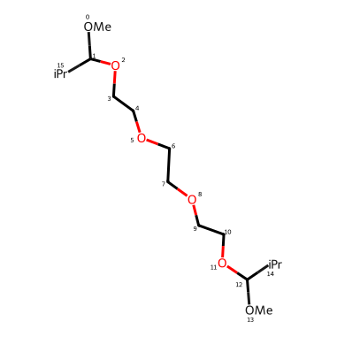 COC(OCCOCCOCCOC(OC)C(C)C)C(C)C